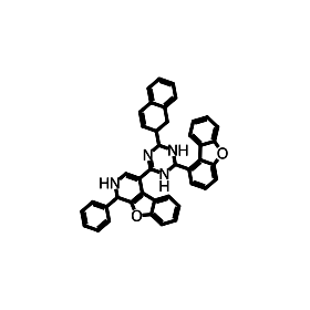 C1=CC(C2N=C(C3=CNC(c4ccccc4)c4oc5ccccc5c43)NC(c3cccc4oc5ccccc5c34)N2)Cc2ccccc21